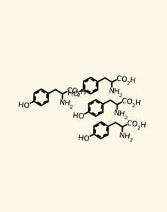 NC(Cc1ccc(O)cc1)C(=O)O.NC(Cc1ccc(O)cc1)C(=O)O.NC(Cc1ccc(O)cc1)C(=O)O.NC(Cc1ccc(O)cc1)C(=O)O